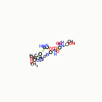 COc1ccc(CN2CCN(C3CC4(C3)CN(c3ccc(C(=O)NS(=O)(=O)c5ccc(NCC6CCC(C)(O)CC6)c([N+](=O)[O-])c5)c(Oc5cnc6[nH]cc(F)c6c5)c3)C4)[C@@H](c3ccccc3C(C)C)C2)cc1OC